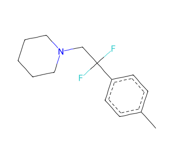 Cc1ccc(C(F)(F)CN2CCCCC2)cc1